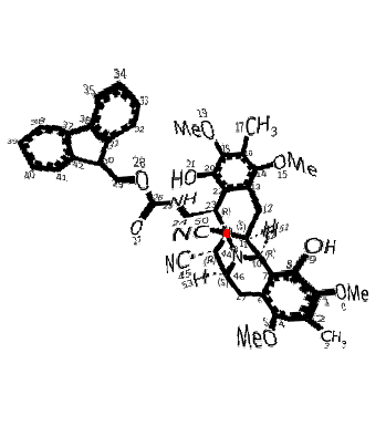 COc1c(C)c(OC)c2c(c1O)[C@@H]1[C@@H]3Cc4c(OC)c(C)c(OC)c(O)c4[C@H](CNC(=O)OCC4c5ccccc5-c5ccccc54)N3[C@@H](C#N)[C@H](C2)N1CC#N